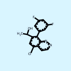 CC(O)c1cc(Cl)c2ccnnc2c1-c1cc(F)cc(F)c1